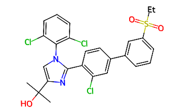 CCS(=O)(=O)c1cccc(-c2ccc(-c3nc(C(C)(C)O)cn3-c3c(Cl)cccc3Cl)c(Cl)c2)c1